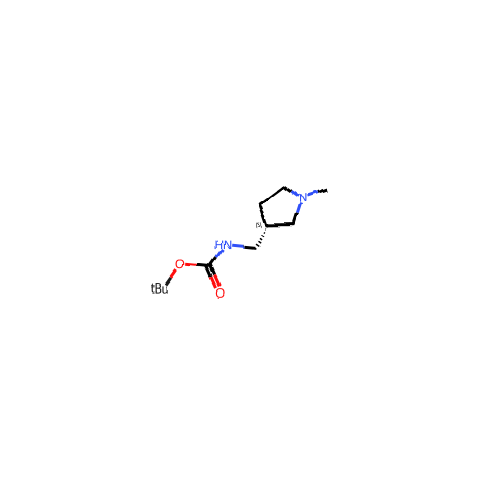 CN1CC[C@@H](CNC(=O)OC(C)(C)C)C1